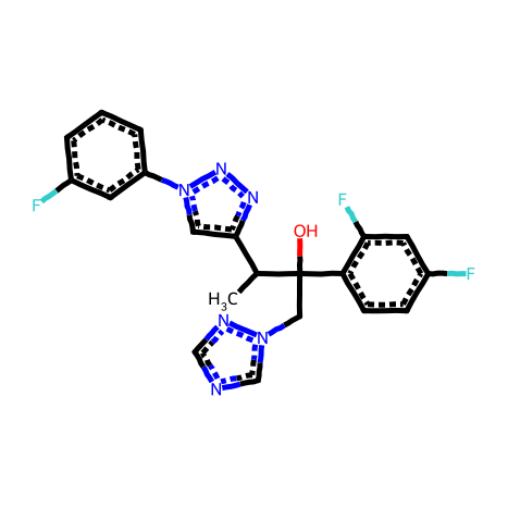 CC(c1cn(-c2cccc(F)c2)nn1)C(O)(Cn1cncn1)c1ccc(F)cc1F